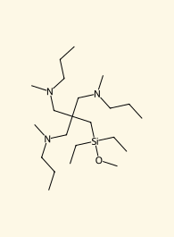 CCCN(C)CC(CN(C)CCC)(CN(C)CCC)C[Si](CC)(CC)OC